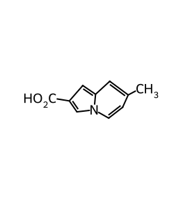 Cc1ccn2cc(C(=O)O)cc2c1